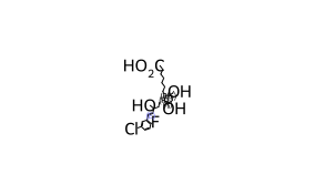 O=C(O)CCCCCC[C@@H]1[C@@H](CCC(O)/C=C/c2cc(Cl)ccc2F)[C@H](O)C[C@@H]1O